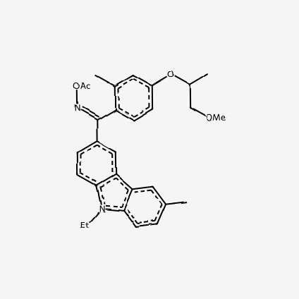 CCn1c2ccc(C)cc2c2cc(/C(=N/OC(C)=O)c3ccc(OC(C)COC)cc3C)ccc21